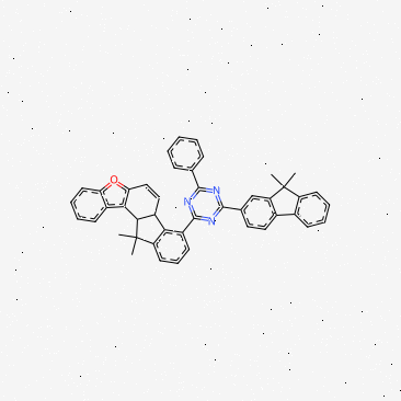 CC1(C)c2ccccc2-c2ccc(-c3nc(-c4ccccc4)nc(-c4cccc5c4C4C=Cc6oc7ccccc7c6C4C5(C)C)n3)cc21